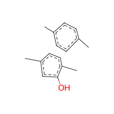 Cc1ccc(C)c(O)c1.Cc1ccc(C)cc1